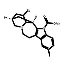 CCC1C[C@H]2C[C@H]3c4c(c5cc(C)ccc5n4C(=O)OC)CCN(C2)C13